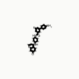 Nc1ccc(-c2cc(F)cc(C(=O)NC3CCC(Nc4ccnc5cc(Cl)ccc45)CC3)c2)cc1